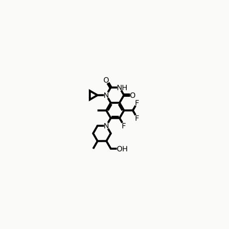 Cc1c(N2CCC(C)C(CO)C2)c(F)c(C(F)F)c2c(=O)[nH]c(=O)n(C3CC3)c12